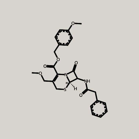 COCC1=C(C(=O)OCc2ccc(OC)cc2)N2C(=O)C(NC(=O)Cc3ccccc3)[C@H]2SC1